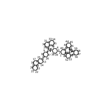 c1cc(-c2ccc(N(c3ccc(-c4ccc5c(ccc6ccccc65)c4)cc3)c3cccc4ccccc34)cc2)cc(-c2ccccc2-n2c3ccccc3c3ccccc32)c1